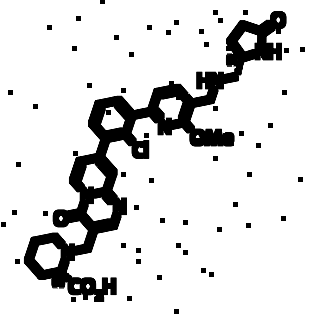 COc1nc(-c2cccc(-c3ccn4c(=O)c(CN5CCCC[C@H]5C(=O)O)cnc4c3)c2Cl)ccc1CNC[C@@H]1CCC(=O)N1